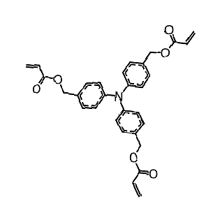 C=CC(=O)OCc1ccc(N(c2ccc(COC(=O)C=C)cc2)c2ccc(COC(=O)C=C)cc2)cc1